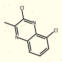 Cc1nc2cccc(Cl)c2nc1Cl